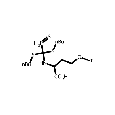 CCCCSC(NC(CCOCC)C(=O)O)([PH2]=S)SCCCC